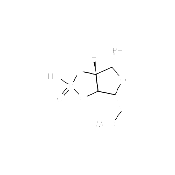 B[C@@H]1O[C@H](COC)C2OP(=O)(O)O[C@@H]21